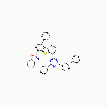 c1ccc(-c2cccc(-c3nc(-c4ccccc4)nc(-c4cccc5c4sc4c(-c6nc7ccccc7o6)ccc(-c6ccccc6)c45)n3)c2)cc1